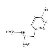 CCOC(=O)NC(Cc1ccc(O)cc1)C(=O)O